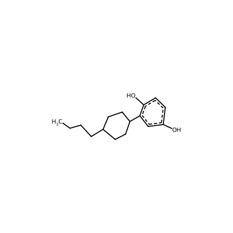 CCCCC1CCC(c2cc(O)ccc2O)CC1